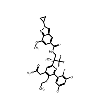 CCOc1c(CC(N)=O)cc([C@@](O)(CNC(=O)c2cc(OC)c3nn(C4CC4)cc3c2)C(F)(F)F)nc1-c1cc(Cl)cc(Cl)c1F